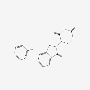 O=C1CCC(N2Cc3c(Nc4ccncn4)cccc3C2=O)C(=O)N1